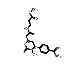 COC(=O)CCNC(=O)C[C@H]1C[C@@H](c2ccc(C(=N)N)cc2)N(C)C(=O)O1